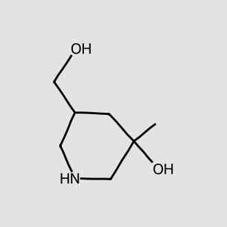 CC1(O)CNCC(CO)C1